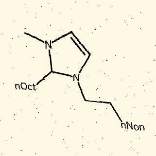 CCCCCCCCCCCN1C=CN(C)C1CCCCCCCC